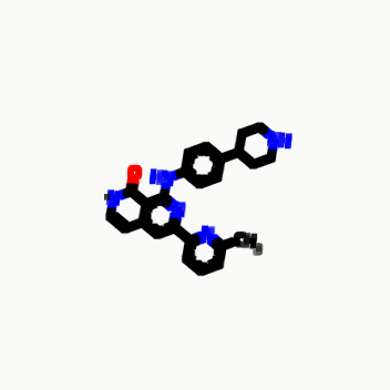 Cc1cccc(-c2cc3c(c(Nc4ccc(C5CCNCC5)cc4)n2)C(=O)[N]C=C3)n1